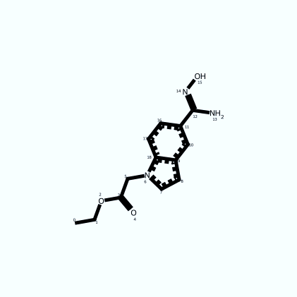 CCOC(=O)Cn1ccc2cc(C(N)=NO)ccc21